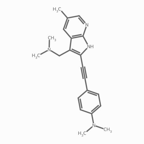 Cc1cnc2[nH]c(C#Cc3ccc(N(C)C)cc3)c(CN(C)C)c2c1